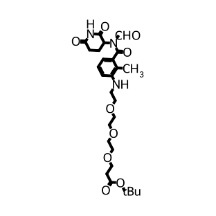 Cc1c(NCCOCCOCCOCCC(=O)OC(C)(C)C)cccc1C(=O)N(C=O)C1CCC(=O)NC1=O